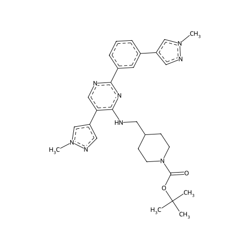 Cn1cc(-c2cccc(-c3ncc(-c4cnn(C)c4)c(NCC4CCN(C(=O)OC(C)(C)C)CC4)n3)c2)cn1